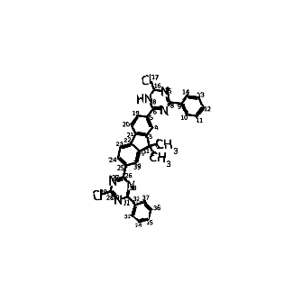 CC1(C)c2cc(C3=NC(c4ccccc4)=NC(Cl)N3)ccc2-c2ccc(-c3nc(Cl)nc(-c4ccccc4)n3)cc21